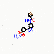 NS(=O)(=O)c1cccc(-c2n[nH]c3ccc(NC(=O)c4ccsc4)cc23)c1